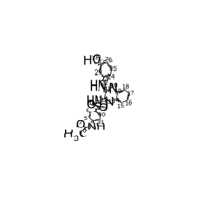 CC(=O)Nc1ccc(S(=O)(=O)Nc2nc3ccccc3nc2Nc2cccc(O)c2)cc1